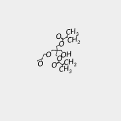 C=C(C)C(=O)OCC(CO)(COCC1CO1)COC(=O)C(=C)C